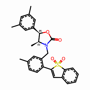 Cc1cc(C)cc([C@H]2OC(=O)N(Cc3cc(C)ccc3C3=Cc4ccccc4S3(=O)=O)[C@H]2C)c1